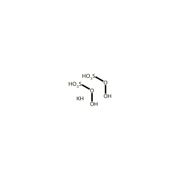 O=S(=O)(O)OO.O=S(=O)(O)OO.[KH]